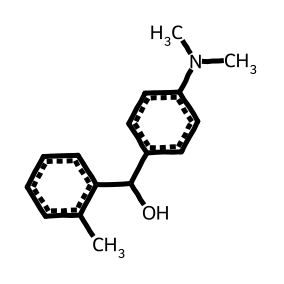 Cc1ccccc1C(O)c1ccc(N(C)C)cc1